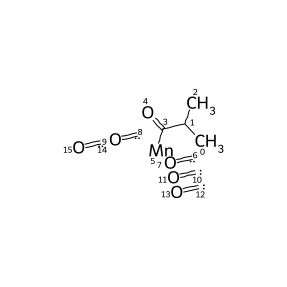 CC(C)[C](=O)[Mn].[C]=O.[C]=O.[C]=O.[C]=O.[C]=O